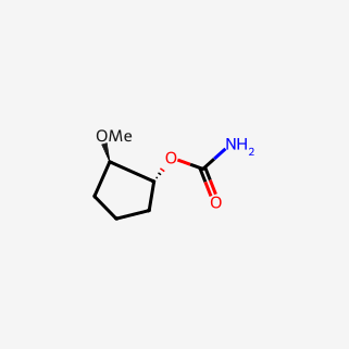 CO[C@@H]1CCC[C@H]1OC(N)=O